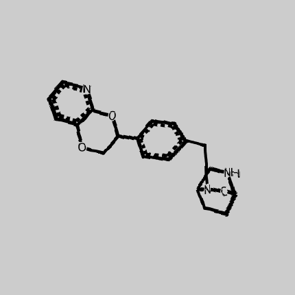 c1cnc2c(c1)OCC(c1ccc(CN3CC4CCC3CN4)cc1)O2